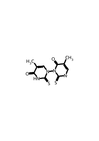 CC1=C[N]C(=S)N(n2cc(C)c(=O)[nH]c2=S)C1=O